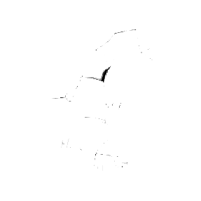 COC(=O)C(NC(=O)OC(C)(C)C)[C@H]1CCCC(F)(F)C1